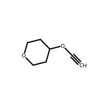 C#COC1CCOCC1